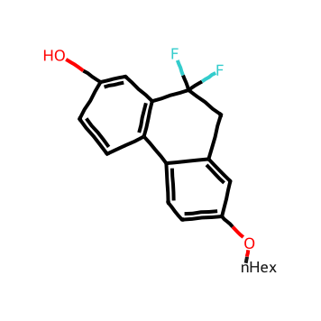 CCCCCCOc1ccc2c(c1)CC(F)(F)c1cc(O)ccc1-2